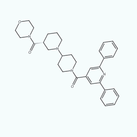 O=C(c1cc(-c2ccccc2)nc(-c2ccccc2)c1)N1CCC(N2CCC[C@@H](C(=O)N3CCOCC3)C2)CC1